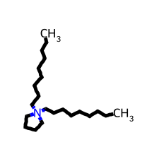 CCCCCCCCC[N+]1(CCCCCCCCC)CCCC1